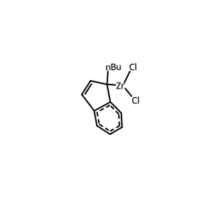 CCCC[C]1([Zr]([Cl])[Cl])C=Cc2ccccc21